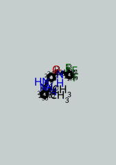 CN(C)c1nc(NC2CCC(C(=O)NCc3ccc(F)c(F)c3F)CC2)nc2ccccc12